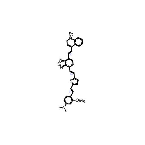 CCN1CC=C(/C=C/c2ccc(/C=C/c3ccc(/C=C/c4ccc(N(C)C)cc4OC)s3)c3nsnc23)c2ccccc21